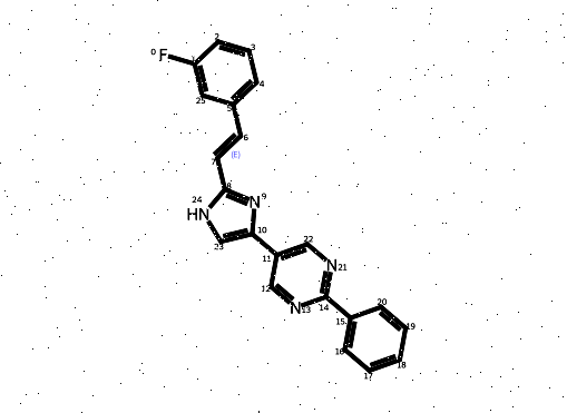 Fc1cccc(/C=C/c2nc(-c3cnc(-c4ccccc4)nc3)c[nH]2)c1